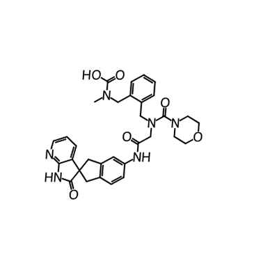 CN(Cc1ccccc1CN(CC(=O)Nc1ccc2c(c1)CC1(C2)C(=O)Nc2ncccc21)C(=O)N1CCOCC1)C(=O)O